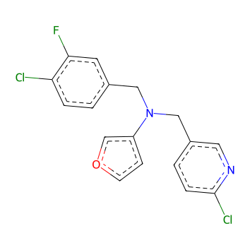 Fc1cc(CN(Cc2ccc(Cl)nc2)c2ccoc2)ccc1Cl